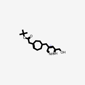 CC(C)(C)OC(=O)CC1=CCCC(C/C(C=N)=C/C(=N)CO)CC1